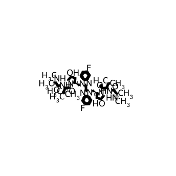 CN[C@H](C)C(=O)N[C@@H](C(=O)N1CC(O)C[C@H]1Cn1c(-c2nc3cc(F)ccc3n2C[C@@H]2CC(O)CN2C(=O)[C@H](NC(=O)[C@@H](C)NC)C(C)(C)C)nc2cc(F)ccc21)C(C)C